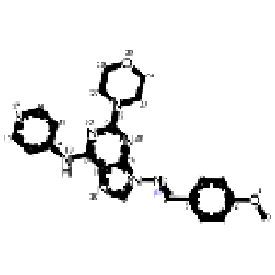 COc1ccc(/C=N/n2cnc3c(Nc4ccncc4)nc(N4CCOCC4)nc32)cc1